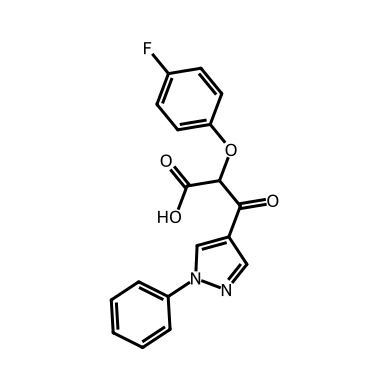 O=C(O)C(Oc1ccc(F)cc1)C(=O)c1cnn(-c2ccccc2)c1